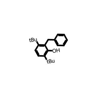 CC(C)(C)c1ccc(C(C)(C)C)c(Cc2ccccc2)c1O